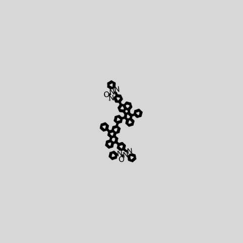 Cn1c(=O)n2c3ccccc3nc2c2ccc(-c3ccc4c5c(cccc35)-c3c-4c(-c4cccc(-c5ccc6c(c5)c(-c5ccccc5)cc5c7ccccc7c(-c7ccc8c(c7)n(-c7ccccc7)c(=O)n7c9ccccc9nc87)cc65)c4)c4ccccc4c3-c3ccccc3)cc21